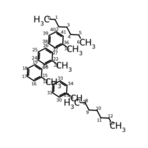 CCCCCCC.CCCCCCC.Cc1ccccc1.Cc1ccccc1.Cc1ccccc1.Cc1ccccc1